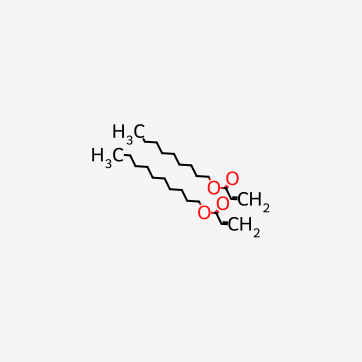 C=CC(=O)OCCCCCCCCC.C=CC(=O)OCCCCCCCCCC